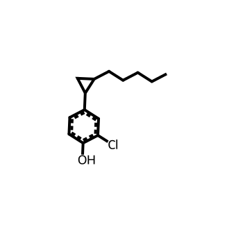 CCCCCC1CC1c1ccc(O)c(Cl)c1